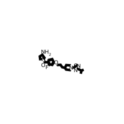 CC(C)c1noc(N2CCC(CCCOc3ccc(C(=O)N4CC[C@@H](N)C4)c(F)c3)CC2)n1